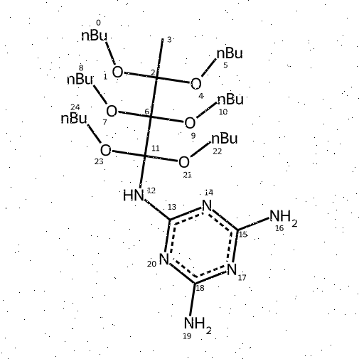 CCCCOC(C)(OCCCC)C(OCCCC)(OCCCC)C(Nc1nc(N)nc(N)n1)(OCCCC)OCCCC